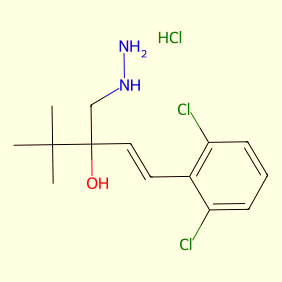 CC(C)(C)C(O)(C=Cc1c(Cl)cccc1Cl)CNN.Cl